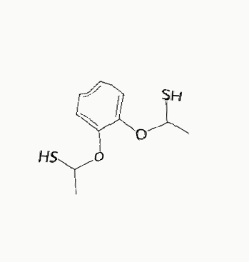 CC(S)Oc1ccccc1OC(C)S